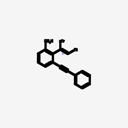 CC/C=C(\CCC)c1c(C#Cc2ccccc2)cccc1C(=O)O